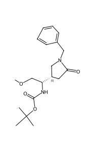 COCC(NC(=O)OC(C)(C)C)[C@H]1CC(=O)N(Cc2ccccc2)C1